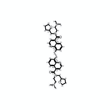 CN(C)CCN(CC1CCCO1)C(=O)c1ccnc2c(SSc3cccc4c(C(=O)N(CCN(C)C)CC5CCCO5)ccnc34)cccc12